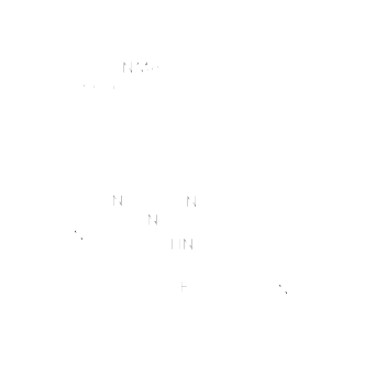 CNC(=O)c1ccc(-c2cnc(NCc3c(F)ccc4c3CCN4)n3cc(C#N)nc23)cc1